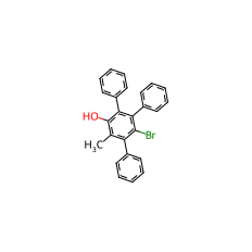 Cc1c(O)c(-c2ccccc2)c(-c2ccccc2)c(Br)c1-c1ccccc1